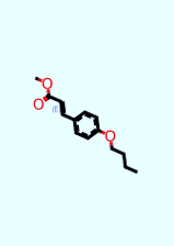 CCCCOc1ccc(/C=C/C(=O)OC)cc1